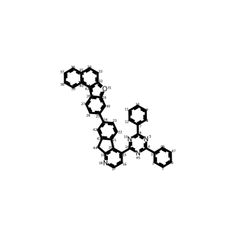 c1ccc(-c2nc(-c3ccccc3)nc(-c3ccnc4c3-c3ccc(-c5ccc6c(c5)oc5ccc7ccccc7c56)cc3C4)n2)cc1